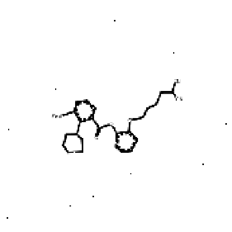 CCCCCc1cccc(C(=O)Oc2ccccc2OCCCCC(C#N)C#N)c1C1CCCCC1